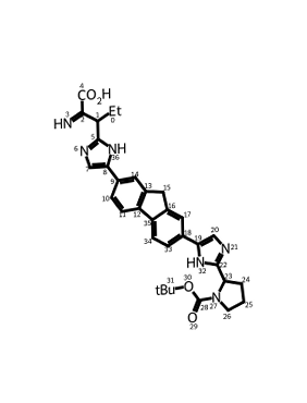 CCC(C(=N)C(=O)O)c1ncc(-c2ccc3c(c2)Cc2cc(-c4cnc(C5CCCN5C(=O)OC(C)(C)C)[nH]4)ccc2-3)[nH]1